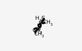 C\C=C/C=C(\C=C/C)Oc1ccc(OC(/C=C\C)=C/C=C\C)cc1